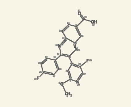 COc1cc(-c2nc3cc(C(=O)O)ccc3nc2-c2ccc(F)cc2)c(F)cn1